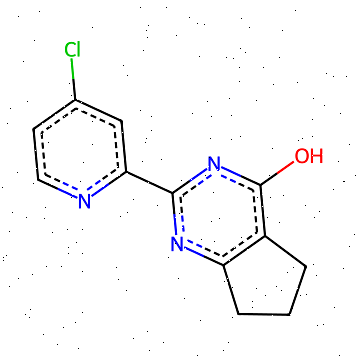 Oc1nc(-c2cc(Cl)ccn2)nc2c1CCC2